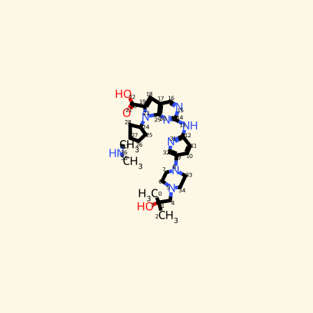 CC(C)(O)CN1CCN(c2ccc(Nc3ncc4cc(C(=O)O)n(C5CCCC5)c4n3)nc2)CC1.CNC